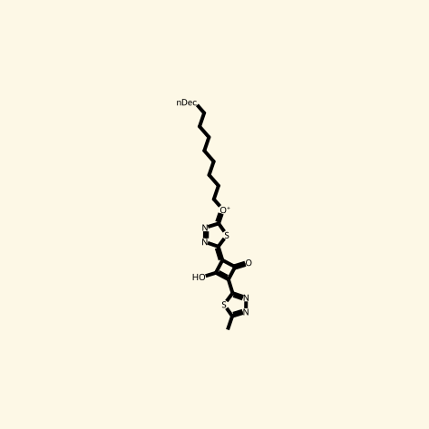 CCCCCCCCCCCCCCCCCC/[O+]=C1N=N/C(=C2/C(=O)C(c3nnc(C)s3)=C2O)S\1